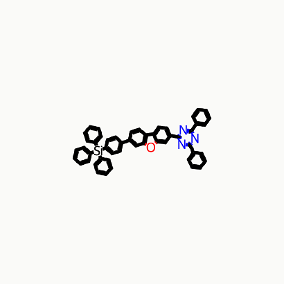 c1ccc(-c2nc(-c3ccccc3)nc(-c3ccc4c(c3)oc3cc(-c5ccc([Si](c6ccccc6)(c6ccccc6)c6ccccc6)cc5)ccc34)n2)cc1